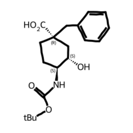 CC(C)(C)OC(=O)N[C@H]1CC[C@](Cc2ccccc2)(C(=O)O)C[C@@H]1O